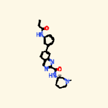 C=CC(=O)Nc1cccc(-c2ccc3cnc(C(=O)N[C@H]4CCCN(C)C4)nc3c2)c1